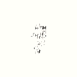 Cc1cc(C)c(Nc2cc(N(CCN3CCOCC3)C(=O)Nc3cc(NC(=O)c4cccc(C(F)(F)F)c4)ccc3C)ncn2)cn1